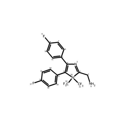 NCC1=NC(c2ccc(F)cc2)=C(c2ccc(F)cc2)[N+]1(C(F)(F)F)C(F)(F)F